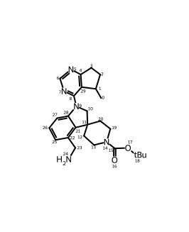 CC1CCc2ncnc(N3CC4(CCN(C(=O)OC(C)(C)C)CC4)c4c(CN)cccc43)c21